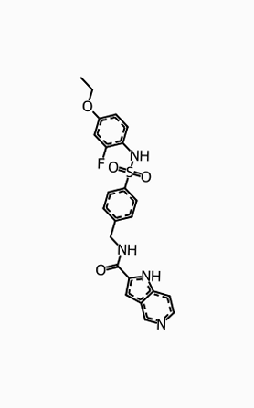 CCOc1ccc(NS(=O)(=O)c2ccc(CNC(=O)c3cc4cnccc4[nH]3)cc2)c(F)c1